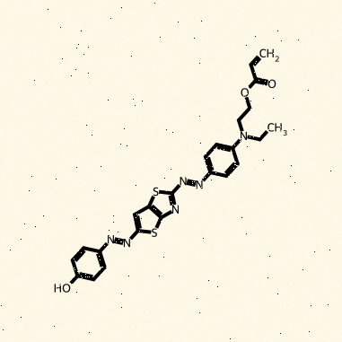 C=CC(=O)OCCN(CC)c1ccc(N=Nc2nc3sc(N=Nc4ccc(O)cc4)cc3s2)cc1